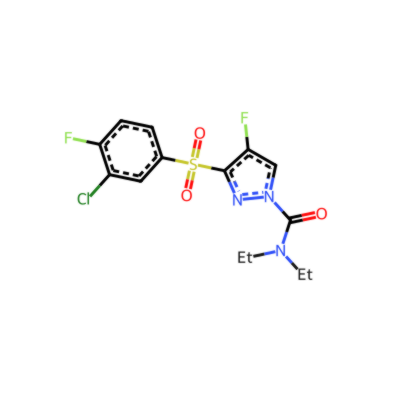 CCN(CC)C(=O)n1cc(F)c(S(=O)(=O)c2ccc(F)c(Cl)c2)n1